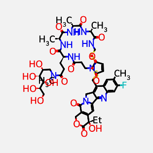 CC[C@@]1(O)C(=O)OCc2c1cc1n(c2=O)Cc2c-1nc1cc(F)c(C)cc1c2CSCCSCNC(=O)[C@H](C)NC(=O)[C@H](C)NC(=O)[C@H](C)NC(=O)[C@H](CCC(=O)N(C)C[C@H](O)[C@@H](O)[C@H](O)[C@H](O)CO)NC(=O)CCN1C(=O)C=CC1=O